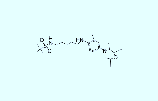 Cc1cc(N2CC(C)OC(C)C2C)ccc1NCCCCCNS(=O)(=O)C(C)(C)C